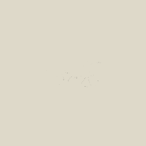 COC(C)(C)CCN1CCCc2ccc(CNc3ccc(CCC(=O)O)c(F)c3)c(C)c21